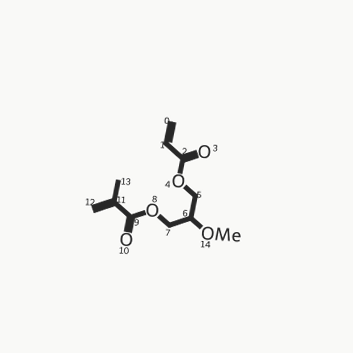 C=CC(=O)OCC(COC(=O)C(=C)C)OC